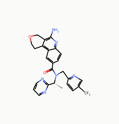 C[C@H](c1ncccn1)N(Cc1ccc(C(F)(F)F)cn1)C(=O)c1ccc2nc(N)c3c(c2c1)CCOC3